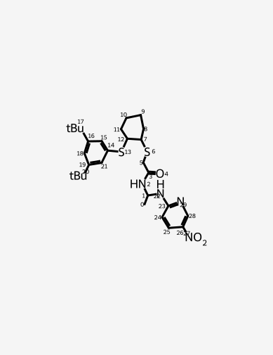 CC(NC(=O)CSC1CCCCC1Sc1cc(C(C)(C)C)cc(C(C)(C)C)c1)Nc1ccc([N+](=O)[O-])cn1